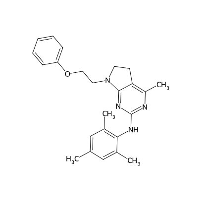 Cc1cc(C)c(Nc2nc(C)c3c(n2)N(CCOc2ccccc2)CC3)c(C)c1